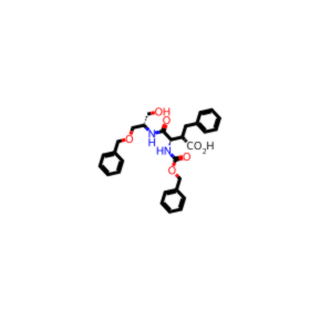 O=C(N[C@H](C(=O)N[C@@H](CO)COCc1ccccc1)C(Cc1ccccc1)C(=O)O)OCc1ccccc1